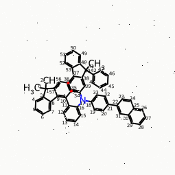 CC1(C)c2ccccc2-c2c(-c3ccccc3N(c3ccc(-c4ccc5ccccc5c4)cc3)c3ccc4c(c3)C(C)(c3ccccc3)c3ccccc3-4)cccc21